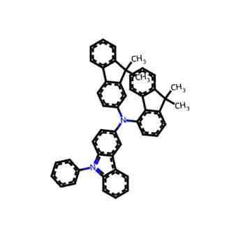 CC1(C)c2ccccc2-c2ccc(N(c3ccc4c(c3)c3ccccc3n4-c3ccccc3)c3cccc4c3-c3ccccc3C4(C)C)cc21